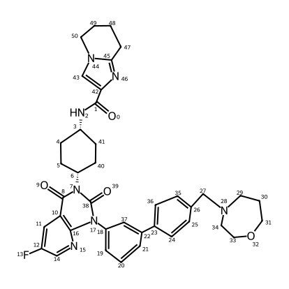 O=C(N[C@H]1CC[C@@H](n2c(=O)c3cc(F)cnc3n(-c3cccc(-c4ccc(CN5CCCOCC5)cc4)c3)c2=O)CC1)c1cn2c(n1)CCCC2